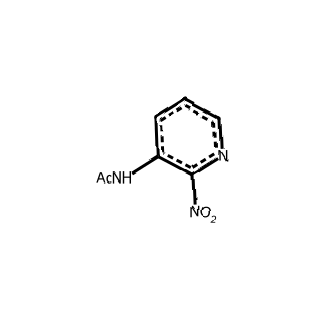 CC(=O)Nc1cccnc1[N+](=O)[O-]